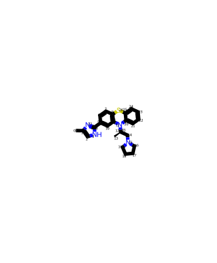 Cc1c[nH]c(-c2ccc3c(c2)N([C@H](C)CN2CCCC2)c2ccccc2S3)n1